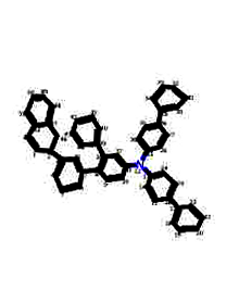 C1=CC(c2cccc(-c3ccc(N(c4ccc(-c5ccccc5)cc4)c4ccc(-c5ccccc5)cc4)cc3-c3ccccc3)c2)Cc2ccccc21